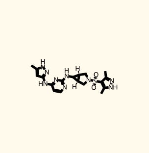 Cc1cc(Nc2ccnc(NC3[C@H]4CN(S(=O)(=O)c5c(C)n[nH]c5C)C[C@@H]34)n2)n[nH]1